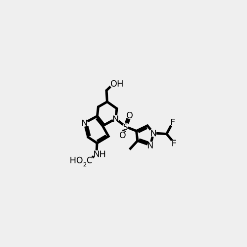 Cc1nn(C(F)F)cc1S(=O)(=O)N1CC(CO)Cc2ncc(NC(=O)O)cc21